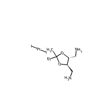 CCC1(C)O[C@H](CN)[C@@H](CN)O1.[I][Pt][I]